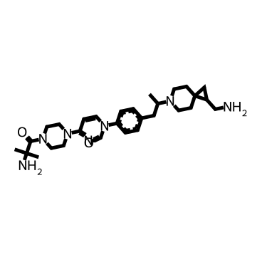 C/N=C(\C=C/N(C=O)c1ccc(CC(C)N2CCC3(CC2)CC3CN)cc1)N1CCN(C(=O)C(C)(C)N)CC1